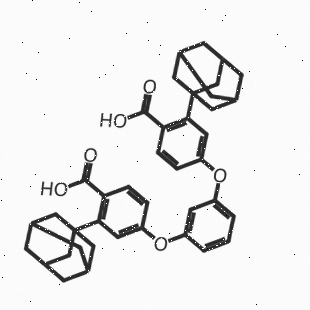 O=C(O)c1ccc(Oc2cccc(Oc3ccc(C(=O)O)c(C45CC6CC(CC(C6)C4)C5)c3)c2)cc1C12CC3CC(CC(C3)C1)C2